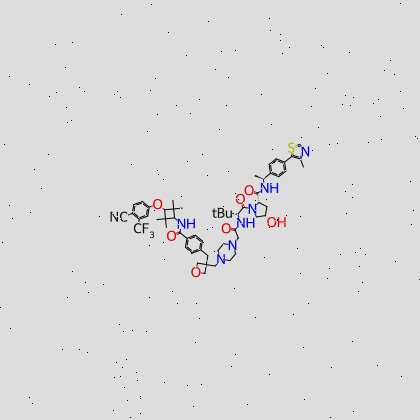 Cc1ncsc1-c1ccc([C@H](C)NC(=O)[C@@H]2C[C@@H](O)CN2C(=O)C(NC(=O)CN2CCN(CC3(Cc4ccc(C(=O)NC5C(C)(C)C(Oc6ccc(C#N)c(C(F)(F)F)c6)C5(C)C)cc4)COC3)CC2)C(C)(C)C)cc1